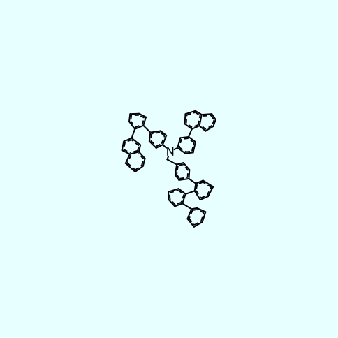 c1ccc(-c2ccccc2-c2ccccc2-c2ccc(CN(c3ccc(-c4ccccc4-c4ccc5ccccc5c4)cc3)c3cccc(-c4cccc5ccccc45)c3)cc2)cc1